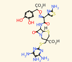 Nc1nc(C(=NO[C@@H](C(=O)O)c2ccc(O)c(O)c2)C(=O)NC2C(=O)N3CC(CSc4nc(N)c(N)c(N)n4)(C(=O)O)CS[C@H]23)cs1